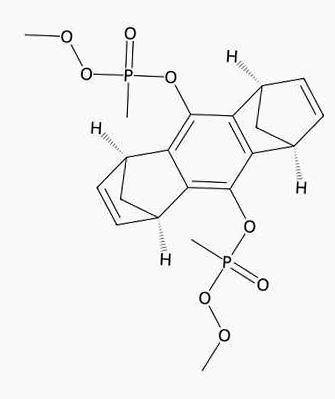 COOP(C)(=O)Oc1c2c(c(OP(C)(=O)OOC)c3c1[C@H]1C=C[C@@H]3C1)[C@H]1C=C[C@@H]2C1